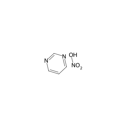 O=[N+]([O-])O.c1cncnc1